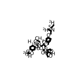 [2H]Cc1nc(COc2ccc(C[C@@H]([C@H](O)CN(CC(C)C)S(=O)(=O)c3ccc4c(c3)OC([2H])([2H])O4)N(C(=O)O)[C@H]3CO[C@H]4OCC[C@H]43)cc2)c([2H])s1